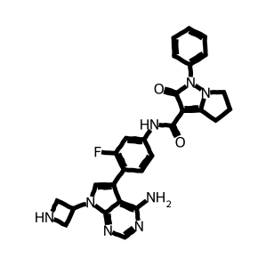 Nc1ncnc2c1c(-c1ccc(NC(=O)c3c4n(n(-c5ccccc5)c3=O)CCC4)cc1F)cn2C1CNC1